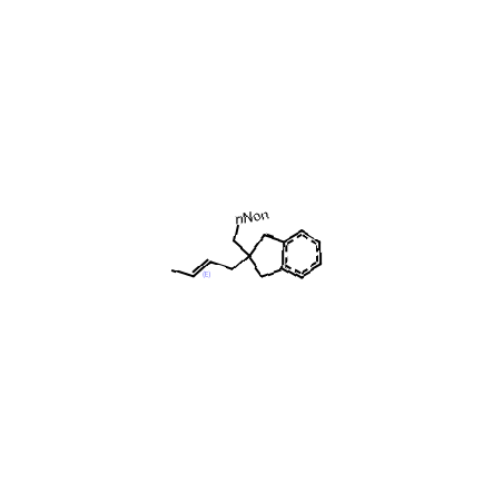 C/C=C/CC1(CCCCCCCCCC)Cc2ccccc2C1